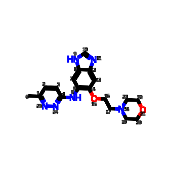 Cc1ccc(Nc2cc3[nH]cnc3cc2OCCN2CCOCC2)nn1